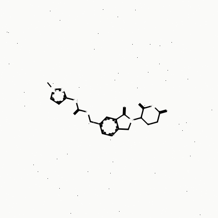 Cn1ccc(NC(=O)NCc2ccc3c(c2)C(=O)N(C2CCC(=O)NC2=O)C3)n1